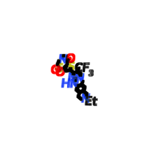 CCN1CCc2cc(Nc3ncc(C(F)(F)F)c(-c4cc5c(s4)C(=O)N(C)CCS5(=O)=O)n3)c(C)cc2C1